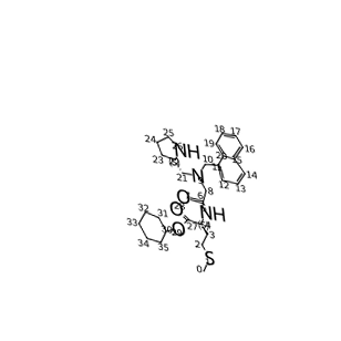 CSCC[C@H](NC(=O)CN(Cc1cccc2ccccc12)C[C@@H]1CCCN1)C(=O)OC1CCCCC1